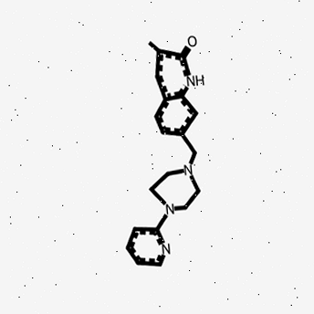 Cc1cc2ccc(CN3CCN(c4ccccn4)CC3)cc2[nH]c1=O